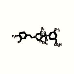 Cc1cc(CC(=O)O)cc(S(=O)(=O)N2[C@H](C)CN(CCc3ccc(C(F)(F)F)c(Cl)c3)C[C@@H]2C)c1